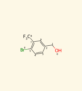 OCc1ccc(Br)c(C(F)(F)F)c1